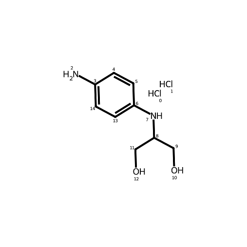 Cl.Cl.Nc1ccc(NC(CO)CO)cc1